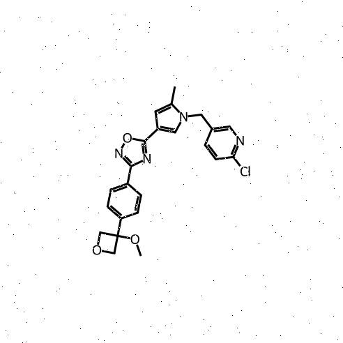 COC1(c2ccc(-c3noc(-c4cc(C)n(Cc5ccc(Cl)nc5)c4)n3)cc2)COC1